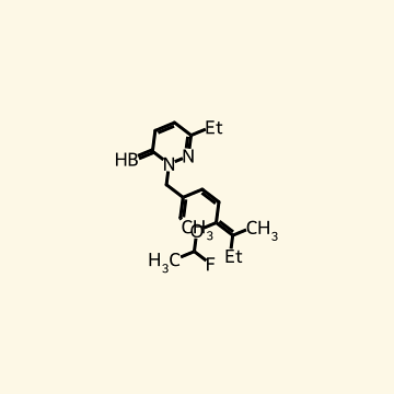 B=C1C=CC(CC)=NN1CC(/C=C\C(OC(C)F)=C(/C)CC)=C/C